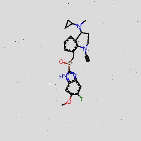 C#CN1CCC(N(C)C2CC2)c2cccc(C[S+]([O-])c3nc4cc(F)c(OC)cc4[nH]3)c21